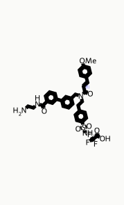 COc1ccc(/C=C/C(=O)N(CCc2ccc(S(N)(=O)=O)cc2)Cc2cccc(-c3cccc(C(=O)NCCN)c3)c2)cc1.O=C(O)C(F)(F)F